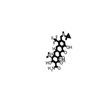 CN(C)[C@@H]1C(O)=C(C(N)=O)C(=O)[C@@]2(O)C(O)=C3C(=O)c4c(O)cc(CN(C)C5(C)CC5)c(C(F)(F)F)c4C[C@H]3C[C@@H]12